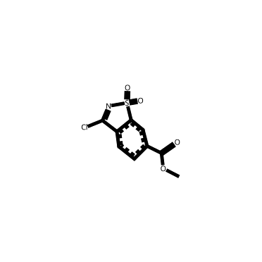 COC(=O)c1ccc2c(c1)S(=O)(=O)N=C2Cl